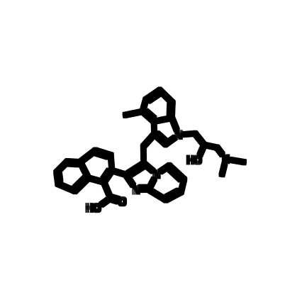 Cc1cccc2c1c(Cc1c(-c3ccc4ccccc4c3C(=O)O)nc3ccccn13)cn2CC(O)CN(C)C